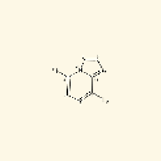 Ic1ccc(I)n2cccc12